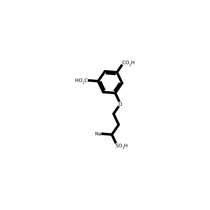 O=C(O)c1cc(OCC[CH]([Na])S(=O)(=O)O)cc(C(=O)O)c1